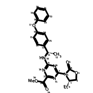 CC[C@H]1COC(=O)N1c1nc(N[C@@H](C)c2ccc(Oc3ccccc3)cc2)nc(C(=O)OC)n1